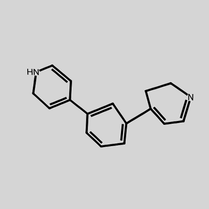 C1=CC(c2cccc(C3=CC=NCC3)c2)=CCN1